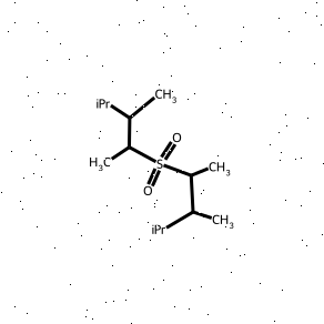 CC(C)C(C)C(C)S(=O)(=O)C(C)C(C)C(C)C